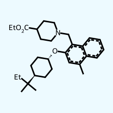 CCOC(=O)C1CCN(Cc2c(O[C@H]3CC[C@H](C(C)(C)CC)CC3)cc(C)c3ccccc23)CC1